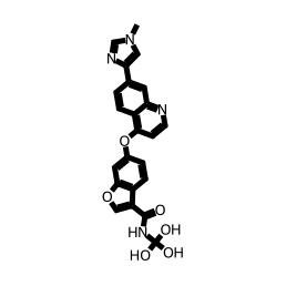 Cn1cnc(-c2ccc3c(Oc4ccc5c(C(=O)NC(O)(O)O)coc5c4)ccnc3c2)c1